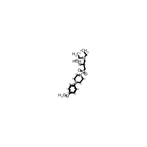 CCN(CC)CC(CS(=O)(=O)N1CCN(c2ccc(OC)cc2)CC1)NO